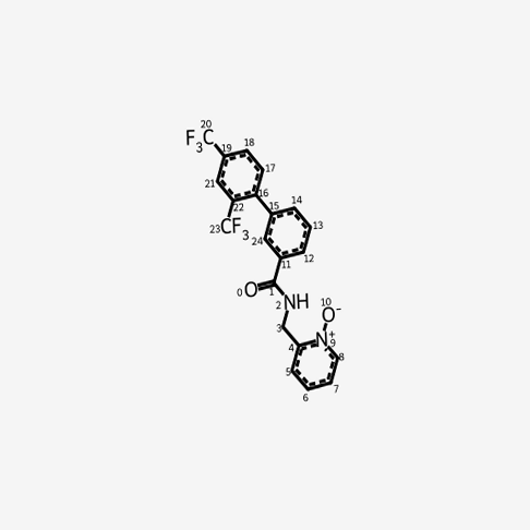 O=C(NCc1cccc[n+]1[O-])c1cccc(-c2ccc(C(F)(F)F)cc2C(F)(F)F)c1